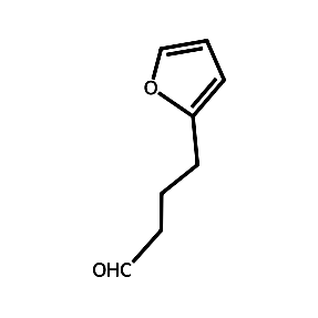 O=CCCCc1ccco1